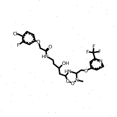 CN1OOC(CC(O)CCNC(=O)COc2ccc(Cl)c(F)c2)NC1COc1ccnc(C(F)(F)F)c1